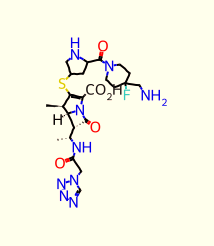 C[C@@H](NC(=O)Cn1cnnn1)[C@H]1C(=O)N2C(C(=O)O)=C(SC3CNC(C(=O)N4CCC(F)(CN)CC4)C3)[C@H](C)[C@H]12